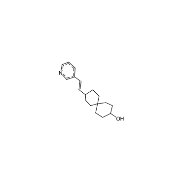 OC1CCC2(CC1)CCC(C=Cc1cccnc1)CC2